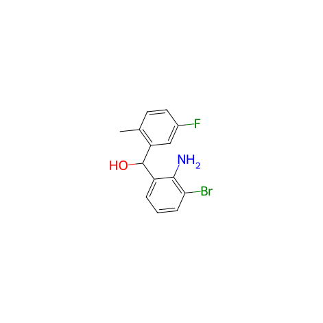 Cc1ccc(F)cc1C(O)c1cccc(Br)c1N